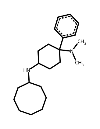 CN(C)C1(c2ccccc2)CCC(NC2CCCCCCC2)CC1